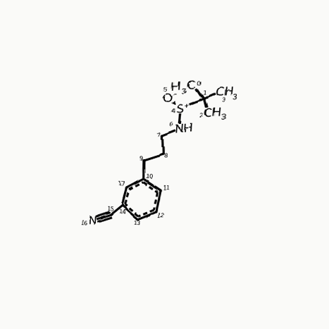 CC(C)(C)[S@+]([O-])NCCCc1cccc(C#N)c1